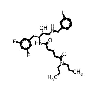 CCCN(CCC)C(=O)CCCC(=O)N[C@@H](Cc1cc(F)cc(F)c1)[C@H](O)CNCc1cccc(I)c1